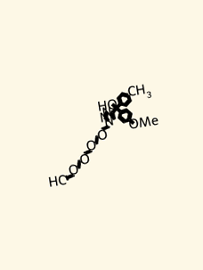 C#CCOCCOCCOCCOCCn1cc(C(O)(c2ccc(C)cc2)c2ccc(OC)cc2)nn1